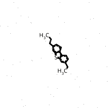 CCCc1ccc2c(c1)sc1cc(CC)ccc12